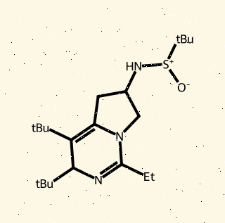 CCC1=NC(C(C)(C)C)C(C(C)(C)C)=C2CC(N[S+]([O-])C(C)(C)C)CN12